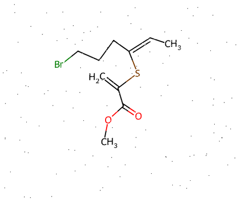 C=C(S/C(=C\C)CCCBr)C(=O)OC